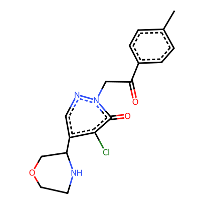 Cc1ccc(C(=O)Cn2ncc(C3COCCN3)c(Cl)c2=O)cc1